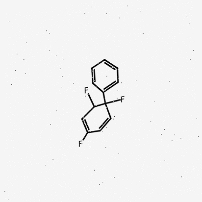 FC1=CC(F)C(F)(c2ccccc2)C=C1